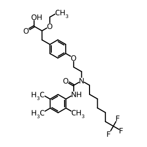 CCOC(Cc1ccc(OCCN(CCCCCCC(F)(F)F)C(=O)Nc2cc(C)c(C)cc2C)cc1)C(=O)O